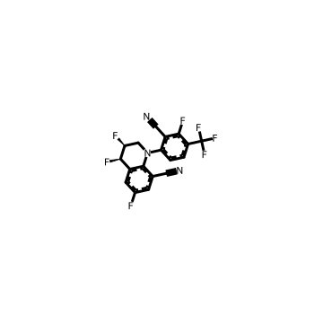 N#Cc1cc(F)cc2c1N(c1ccc(C(F)(F)F)c(F)c1C#N)C[C@H](F)[C@@H]2F